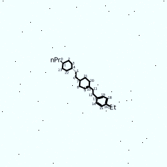 CCC[C@H]1CC[C@H](CCC2CC=C(CCc3ccc(CC)cc3)CC2)CC1